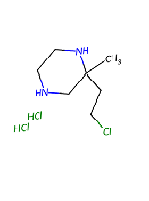 CC1(CCCl)CNCCN1.Cl.Cl